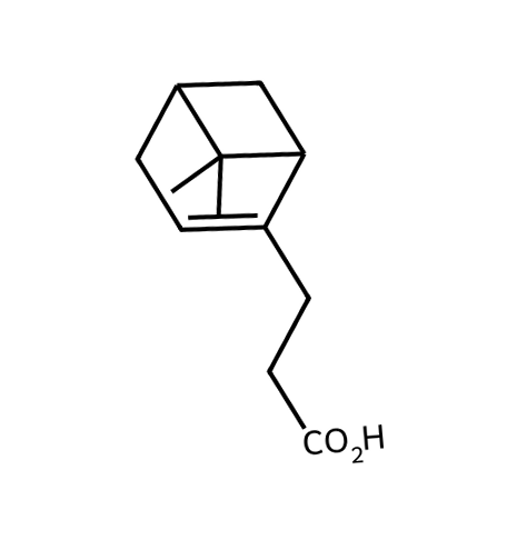 CC1(C)C2CC=C(CCC(=O)O)C1C2